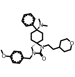 COc1ccc(CN2C[C@]3(CC[C@](c4ccccc4)(N(C)C)CC3)N(CCC3CCOCC3)C2=O)cc1